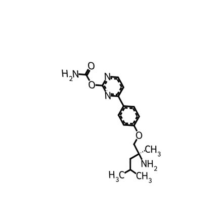 CC(C)C[C@](C)(N)COc1ccc(-c2ccnc(OC(N)=O)n2)cc1